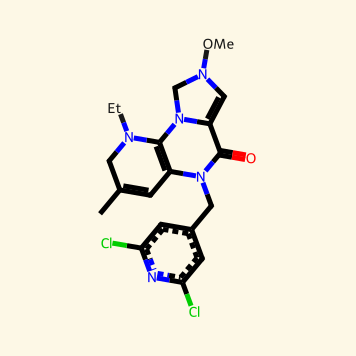 CCN1CC(C)=CC2=C1N1CN(OC)C=C1C(=O)N2Cc1cc(Cl)nc(Cl)c1